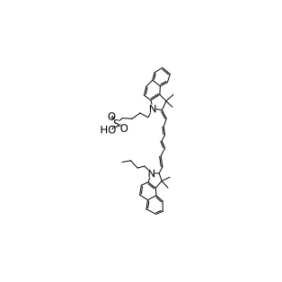 CCCCN1c2ccc3ccccc3c2C(C)(C)C1/C=C/C=C/C=C/C=C1\N(CCCCS(=O)(=O)O)c2ccc3ccccc3c2C1(C)C